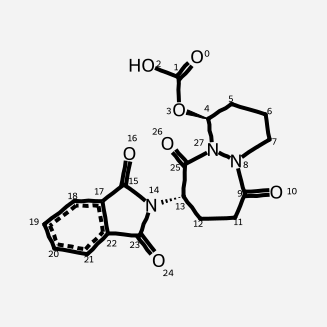 O=C(O)O[C@H]1CCCN2C(=O)CC[C@H](N3C(=O)c4ccccc4C3=O)C(=O)N12